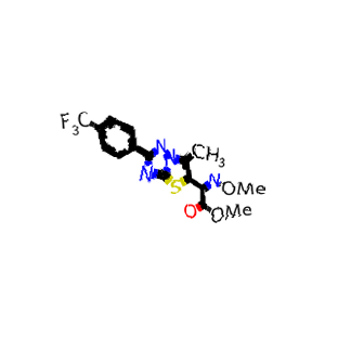 CON=C(C(=O)OC)c1sc2nc(-c3ccc(C(F)(F)F)cc3)nn2c1C